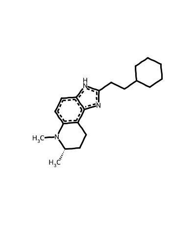 C[C@H]1CCc2c(ccc3[nH]c(CCC4CCCCC4)nc23)N1C